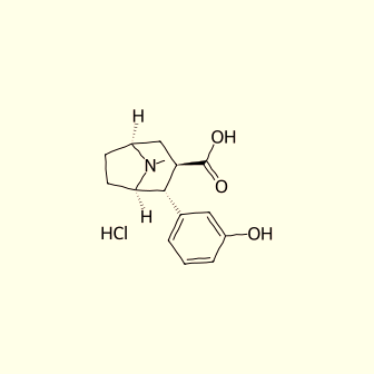 CN1[C@H]2CC[C@@H]1[C@@H](c1cccc(O)c1)[C@H](C(=O)O)C2.Cl